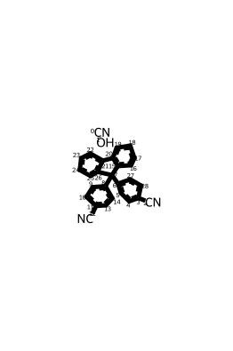 N#CO.N#Cc1ccc(C2(c3ccc(C#N)cc3)c3ccccc3-c3ccccc32)cc1